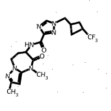 Cc1cc2n(n1)CCC(NC(=O)c1ncn(CC3CC(C(F)(F)F)C3)n1)C(=O)N2C